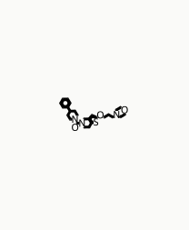 O=C(N1CCC(c2ccccc2)CC1)N1CCc2sc(OCCCN3CCOCC3)cc2C1